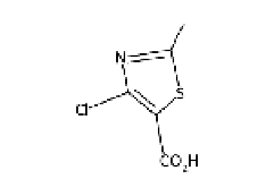 Cc1nc(Cl)c(C(=O)O)s1